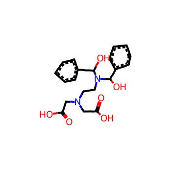 O=C(O)CN(CCN(C(O)c1ccccc1)C(O)c1ccccc1)CC(=O)O